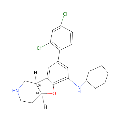 Clc1ccc(-c2cc(NC3CCCCC3)c3c(c2)[C@@H]2CNCC[C@@H]2O3)c(Cl)c1